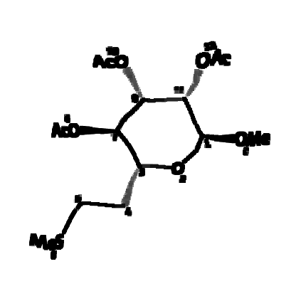 CO[C@H]1O[C@H](CCSC)[C@@H](OC(C)=O)[C@H](OC(C)=O)[C@@H]1OC(C)=O